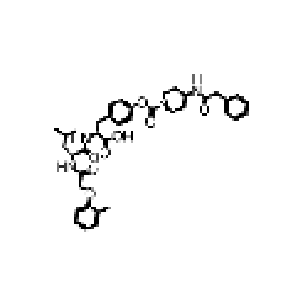 Cc1ccccc1OCC(=O)N[C@@H](CC(C)C)C(=O)N[C@@H](Cc1ccc(OC(=O)N2CCC(NC(=O)Cc3ccccc3)CC2)cc1)C(=O)O